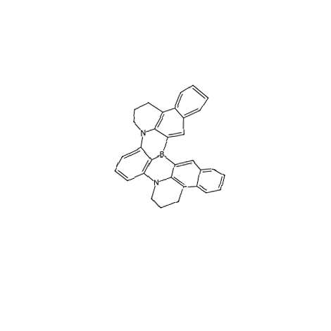 c1cc2c3c(c1)N1CCCc4c1c(cc1ccccc41)B3c1cc3ccccc3c3c1N2CCC3